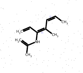 C=C/C(NC(=C)C)=C(C)\C=C/C